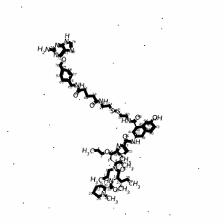 CCCO[C@H](C[C@H](C(C)C)N(CCC)C(=O)[C@@H](NC(=O)[C@H]1CCCCN1C)[C@@H](C)CC)c1nc(C(=O)N[C@H]2Cc3ccc(O)cc3[C@H](C(=O)NCCSSCCNC(=O)CCCC(=O)NCc3ccc(COc4nc(N)nc5[nH]cnc45)cc3)C2)cs1